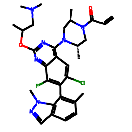 C=CC(=O)N1C[C@H](C)N(c2nc(OC(C)CN(C)C)nc3c(F)c(-c4c(C)ccc5cnn(C)c45)c(Cl)cc23)C[C@H]1C